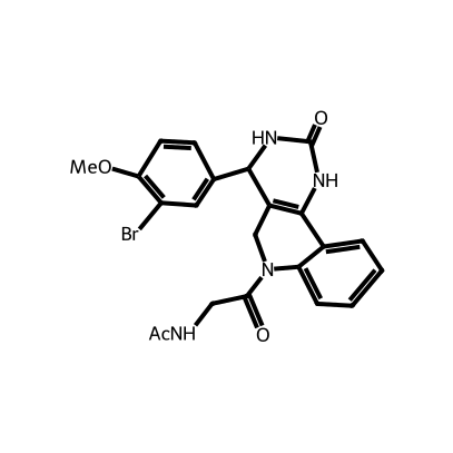 COc1ccc(C2NC(=O)NC3=C2CN(C(=O)CNC(C)=O)c2ccccc23)cc1Br